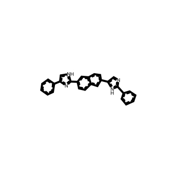 c1ccc(-c2c[nH]c(-c3ccc4cc(-c5cnc(-c6ccccc6)[nH]5)ccc4c3)n2)cc1